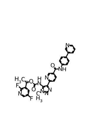 C[C@@H](OC(=O)Nc1c(-c2ccc(C(=O)Nc3ccc(-c4cccnc4)cc3)cn2)nnn1C)c1cc(F)cnc1F